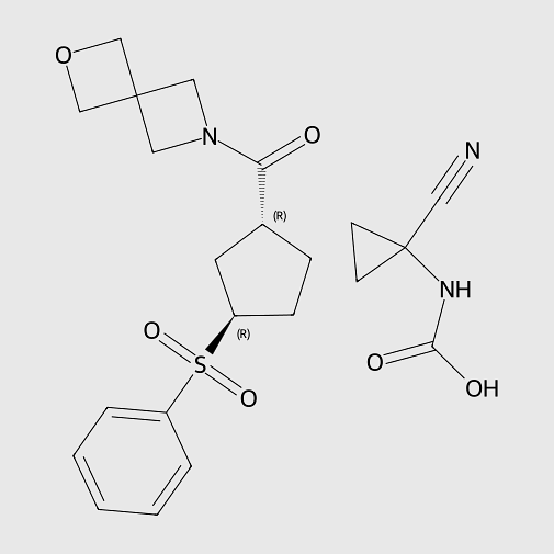 N#CC1(NC(=O)O)CC1.O=C([C@@H]1CC[C@@H](S(=O)(=O)c2ccccc2)C1)N1CC2(COC2)C1